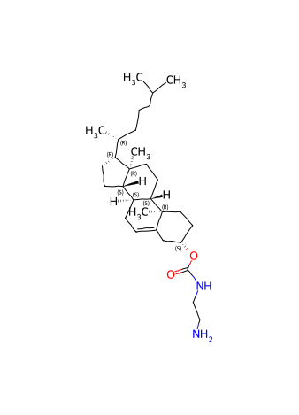 CC(C)CCC[C@@H](C)[C@H]1CC[C@H]2[C@@H]3CC=C4C[C@@H](OC(=O)NCCN)CC[C@]4(C)[C@H]3CC[C@]12C